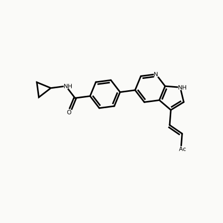 CC(=O)/C=C/c1c[nH]c2ncc(-c3ccc(C(=O)NC4CC4)cc3)cc12